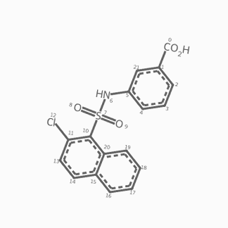 O=C(O)c1cccc(NS(=O)(=O)c2c(Cl)ccc3ccccc23)c1